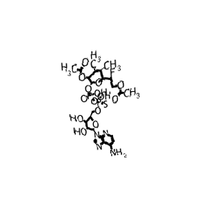 CC(=O)OC[C@H](F)C1O[C@@H](OP(=O)(O)OP(O)(=S)OC[C@H]2O[C@@H](n3cnc4c(N)ccnc43)[C@@H](O)C2O)C(OC(C)=O)[C@@H](C)[C@@H]1C